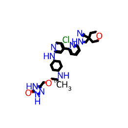 C[C@@H](COCc1n[nH]c(=O)[nH]1)N[C@H]1CC[C@H](Nc2cc(-c3cccc(NCC4(C#N)CCOCC4)n3)c(Cl)cn2)CC1